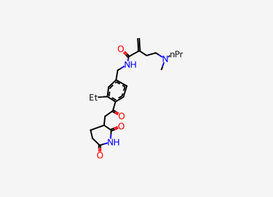 C=C(CCN(C)CCC)C(=O)NCc1ccc(C(=O)CC2CCC(=O)NC2=O)c(CC)c1